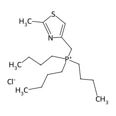 CCCC[P+](CCCC)(CCCC)Cc1csc(C)n1.[Cl-]